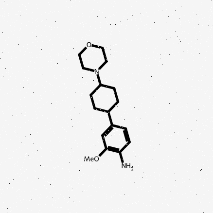 COc1cc(C2CCC(N3CCOCC3)CC2)ccc1N